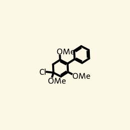 COC1=CC(Cl)(OC)CC(OC)=C1c1ccccc1